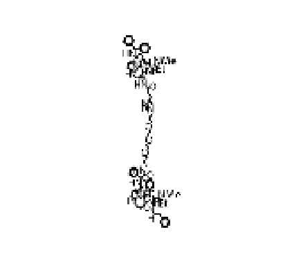 CC[C@H](NC)C(=O)N[C@@H]1C(=O)N2[C@@H](CC[C@@H]1CNC(=O)CCc1cn(CCCOCCOCCOCCCNC(=O)C(NC(=O)[C@@H]3CC[C@@H]4CC[C@H](CNCCc5ccccc5)[C@H](NC(=O)[C@H](CC)NC)C(=O)N43)(c3ccccc3)c3ccccc3)nn1)CC[C@H]2C(=O)NC(c1ccccc1)c1ccccc1